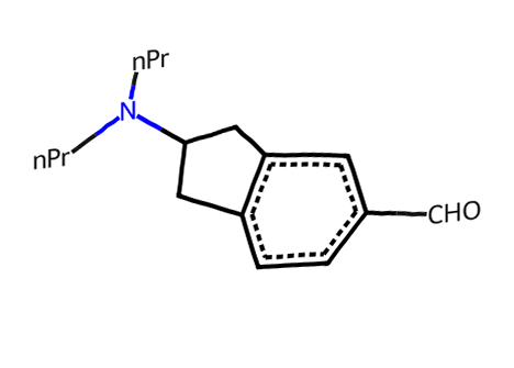 CCCN(CCC)C1Cc2ccc(C=O)cc2C1